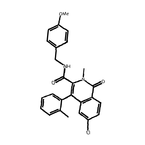 COc1ccc(CNC(=O)c2c(-c3ccccc3C)c3cc(Cl)ccc3c(=O)n2C)cc1